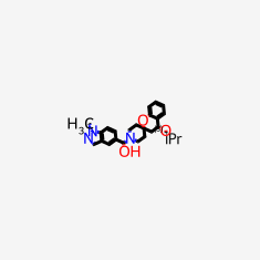 CC(C)O[C@H]1CC2(CCN(C(O)c3ccc4c(cnn4C)c3)CC2)Oc2ccccc21